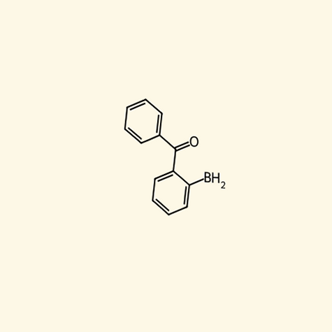 Bc1ccccc1C(=O)c1ccccc1